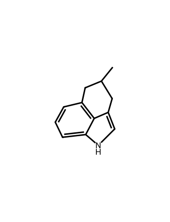 CC1Cc2cccc3[nH]cc(c23)C1